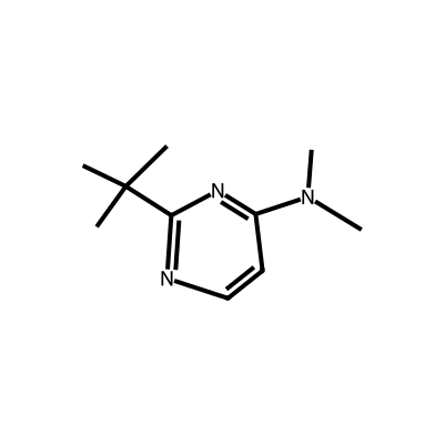 CN(C)c1ccnc(C(C)(C)C)n1